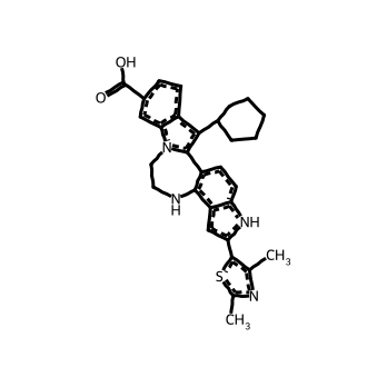 Cc1nc(C)c(-c2cc3c4c(ccc3[nH]2)-c2c(C3CCCCC3)c3ccc(C(=O)O)cc3n2CCN4)s1